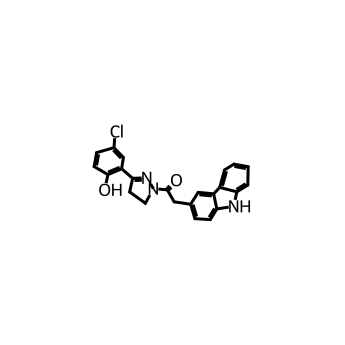 O=C(Cc1ccc2[nH]c3ccccc3c2c1)N1CCC(c2cc(Cl)ccc2O)=N1